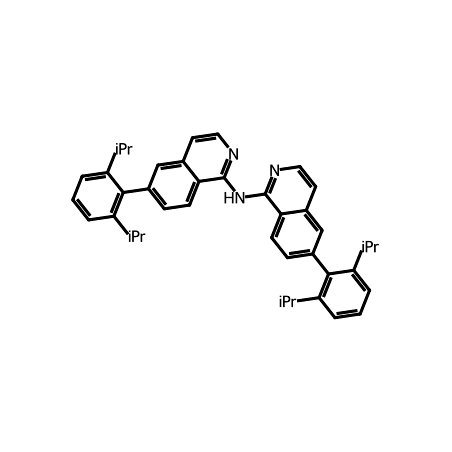 CC(C)c1cccc(C(C)C)c1-c1ccc2c(Nc3nccc4cc(-c5c(C(C)C)cccc5C(C)C)ccc34)nccc2c1